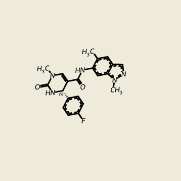 Cc1cc2cnn(C)c2cc1NC(=O)C1=CN(C)C(=O)N[C@H]1c1ccc(F)cc1